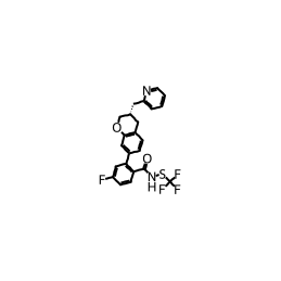 O=C(NSC(F)(F)F)c1ccc(F)cc1-c1ccc2c(c1)OC[C@H](Cc1ccccn1)C2